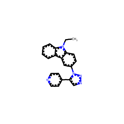 CCn1c2ccccc2c2cc(-n3nncc3-c3ccncc3)ccc21